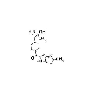 Cc1ccc2[nH]c(C(=O)N3CCC(CC(C)(C)O)CC3)cc2n1